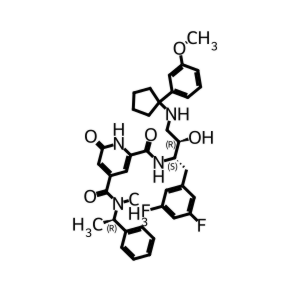 COc1cccc(C2(NC[C@@H](O)[C@H](Cc3cc(F)cc(F)c3)NC(=O)c3cc(C(=O)N(C)[C@H](C)c4ccccc4)cc(=O)[nH]3)CCCC2)c1